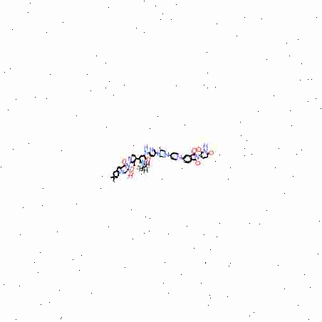 [2H]C([2H])([2H])n1cc(-c2ccnc(N3CCn4c(cc5c4CC(C)(C)C5)C3=O)c2CO)cc(Nc2ccc(N3CCN(C4CCN(c5ccc6c(c5)C(=O)N([C@H]5CCC(=O)NC5=O)C6=O)CC4)C[C@@H]3C)cn2)c1=O